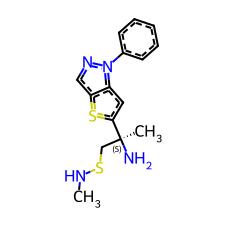 CNSC[C@](C)(N)c1cc2c(cnn2-c2ccccc2)s1